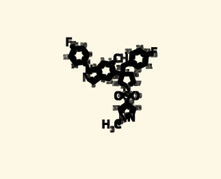 Cc1cc2c(cnn2-c2ccc(F)cc2)cc1C1(Cc2ccc(F)cc2)CCN(S(=O)(=O)c2cnn(C)c2)C1